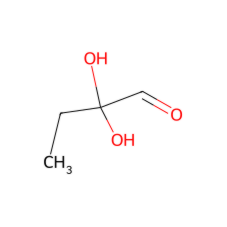 CCC(O)(O)C=O